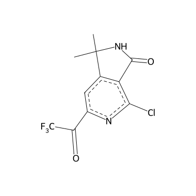 CC1(C)NC(=O)c2c1cc(C(=O)C(F)(F)F)nc2Cl